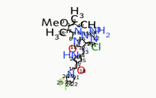 COc1c(C)c(C)nc(CN2C(=O)/C(=C\c3cc(C(=O)CN4CCC(F)(F)C4)c[nH]3)c3c(Cl)nc(N)nc32)c1C